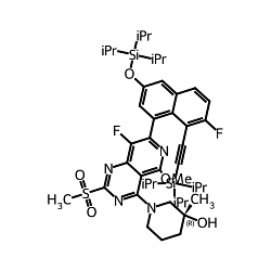 COc1nc(-c2cc(O[Si](C(C)C)(C(C)C)C(C)C)cc3ccc(F)c(C#C[Si](C(C)C)(C(C)C)C(C)C)c23)c(F)c2nc(S(C)(=O)=O)nc(N3CCC[C@@](C)(O)C3)c12